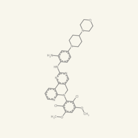 COc1cc(OC)c(Cl)c(N2Cc3cnc(Nc4ccc(N5CCC(N6CCOCC6)CC5)cc4N)nc3-c3cccnc32)c1Cl